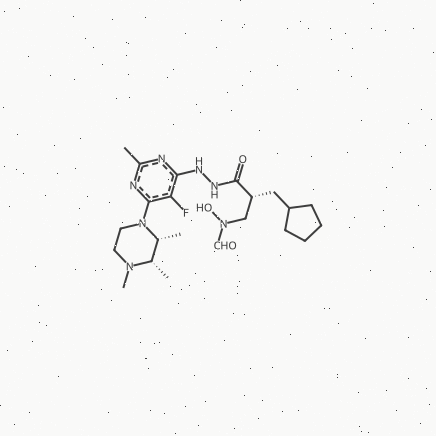 Cc1nc(NNC(=O)[C@H](CC2CCCC2)CN(O)C=O)c(F)c(N2CCN(C)[C@@H](C)[C@H]2C)n1